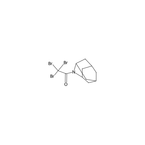 O=C(N1C2CC3CC(C2)CC1C3)C(Br)(Br)Br